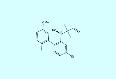 C=CC(C)(C)[C@H](O)c1cc(CC)ccc1-c1cc(OC)ccc1F